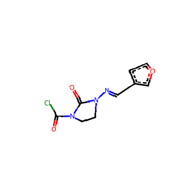 O=C(Cl)N1CCN(N=Cc2ccoc2)C1=O